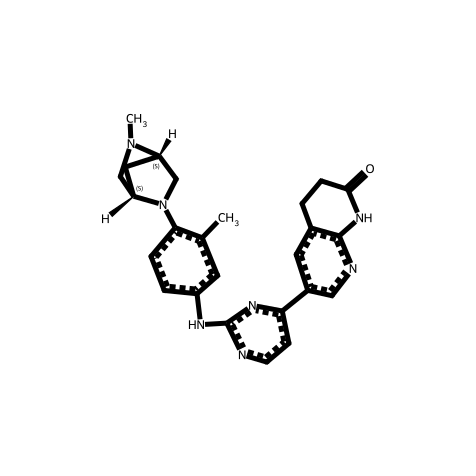 Cc1cc(Nc2nccc(-c3cnc4c(c3)CCC(=O)N4)n2)ccc1N1C[C@@H]2C[C@H]1CN2C